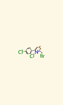 Clc1ccc(-c2csc(CBr)n2)c(Cl)c1